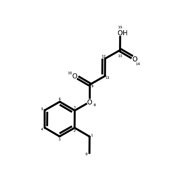 CCc1ccccc1OC(=O)/C=C/C(=O)O